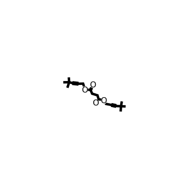 CC(C)(C)C#CCOC(=O)CCC(=O)OCC#CC(C)(C)C